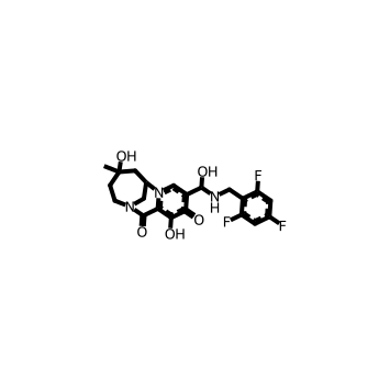 CC1(O)CCN2CC(C1)n1cc(C(O)NCc3c(F)cc(F)cc3F)c(=O)c(O)c1C2=O